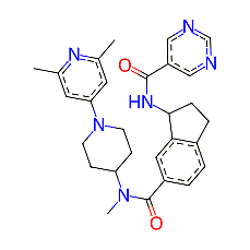 Cc1cc(N2CCC(N(C)C(=O)c3ccc4c(c3)C(NC(=O)c3cncnc3)CC4)CC2)cc(C)n1